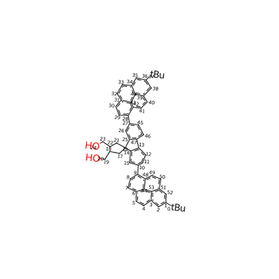 CC(C)(C)c1cc2ccc3ccc(-c4ccc5c(c4)C(CCCO)(CCCO)c4cc(-c6ccc7ccc8cc(C(C)(C)C)cc9ccc6c7c89)ccc4-5)c4ccc(c1)c2c34